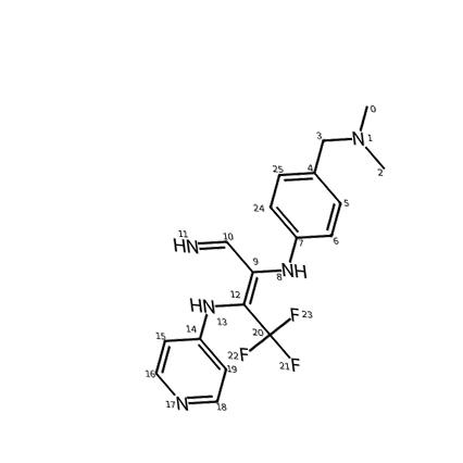 CN(C)Cc1ccc(N/C(C=N)=C(/Nc2ccncc2)C(F)(F)F)cc1